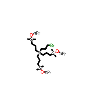 CCCO[Si](C)(C)CCC[Si](CCCBr)(CCC[Si](C)(C)OCCC)CCC[Si](C)(C)OCCC